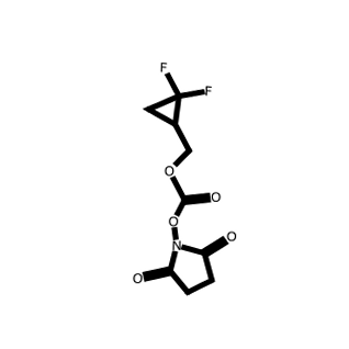 O=C(OCC1CC1(F)F)ON1C(=O)CCC1=O